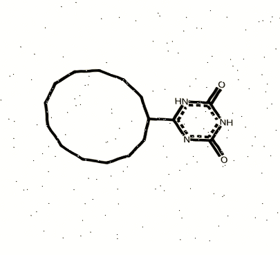 O=c1nc(C2CCCCCCCCCCCC2)[nH]c(=O)[nH]1